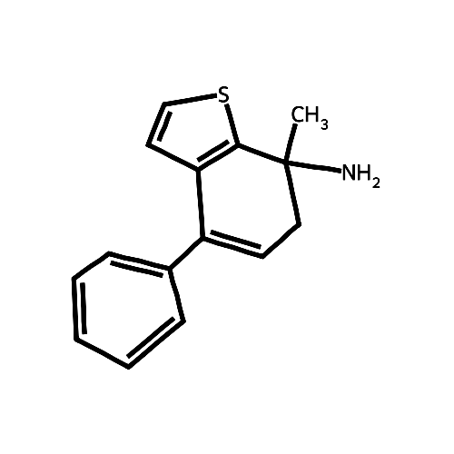 CC1(N)CC=C(c2ccccc2)c2ccsc21